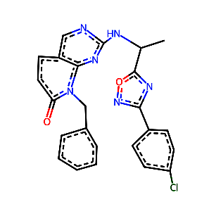 CC(Nc1ncc2ccc(=O)n(Cc3ccccc3)c2n1)c1nc(-c2ccc(Cl)cc2)no1